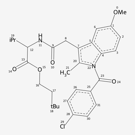 COc1ccc2c(c1)c(CC(=O)NC(C(=O)OCCC(C)(C)C)C(C)C)c(C)n2C(=O)c1ccc(Cl)cc1